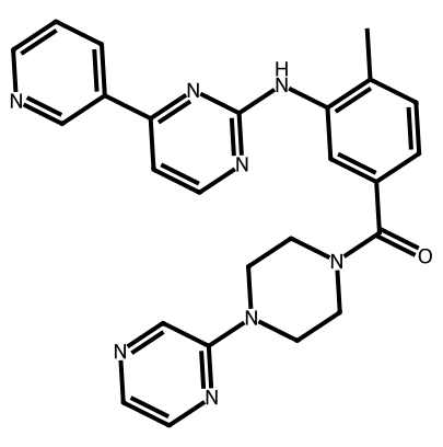 Cc1ccc(C(=O)N2CCN(c3cnccn3)CC2)cc1Nc1nccc(-c2cccnc2)n1